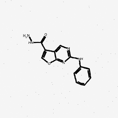 NNC(=O)c1coc2nc(Nc3ccccc3)ncc12